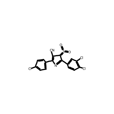 N#CC1=C(c2ccc(Cl)cc2)N=C(c2ccc(Cl)c(Cl)c2)C1=S(=O)=O